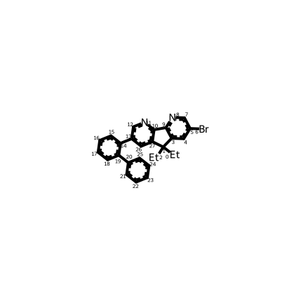 CCC1(CC)c2cc(Br)cnc2-c2ncc(-c3ccccc3-c3ccccc3)cc21